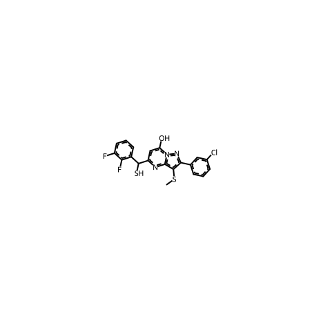 CSc1c(-c2cccc(Cl)c2)nn2c(O)cc(C(S)c3cccc(F)c3F)nc12